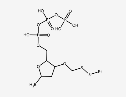 BC1CC(OCSSCC)C(COP(=O)(O)OP(=O)(O)OP(=O)(O)O)O1